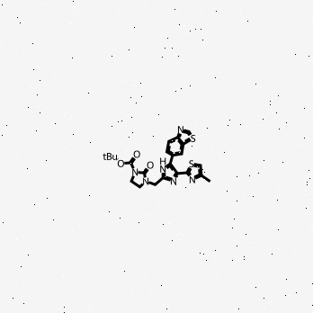 Cc1csc(-c2nc(CN3CCN(C(=O)OC(C)(C)C)C3=O)[nH]c2-c2ccc3ncsc3c2)n1